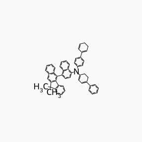 CC1(C)c2ccccc2-c2c1cc1ccccc1c2-c1ccc(N(C2=CC=C(c3ccccc3)CC2)c2ccc(C3=CCCC=C3)cc2)c2ccccc12